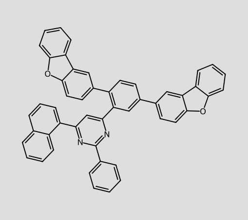 c1ccc(-c2nc(-c3cc(-c4ccc5oc6ccccc6c5c4)ccc3-c3ccc4oc5ccccc5c4c3)cc(-c3cccc4ccccc34)n2)cc1